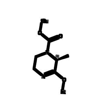 CCOC1=NCCN(C(=O)OC(C)(C)C)[C@H]1C